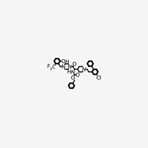 O=C(N[C@@H](C(=O)N1CCN(Cc2c(O)cccc2C(F)(F)F)CC1)C1CCN(CCc2cc(Cl)ccc2-c2ccccc2)CC1)OCc1ccccc1